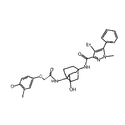 CCc1c(C(=O)NC23CCC(NC(=O)COc4ccc(Cl)c(F)c4)(CC2)C(O)C3)nn(C)c1-c1ccccc1